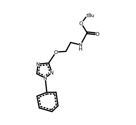 CC(C)(C)OC(=O)NCCOc1ncn(-c2ccccc2)n1